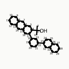 CC(C)(O)c1cc2cc3ccccc3cc2cc1-c1cccc(-c2ccc3ccccc3c2)c1